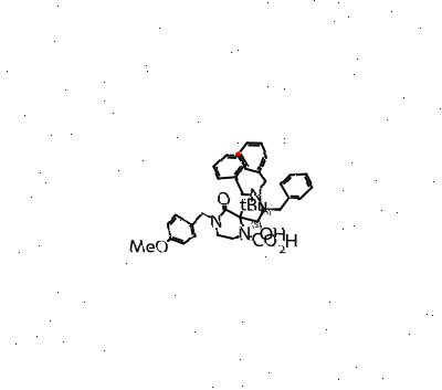 COc1ccc(CN2CCN(C(=O)O)C([C@@H](O)[C@H](Cc3ccccc3)N(Cc3ccccc3)Cc3ccccc3)(C(C)(C)C)C2=O)cc1